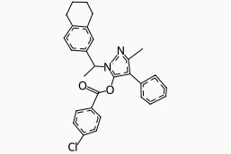 Cc1nn(C(C)c2ccc3c(c2)CCCC3)c(OC(=O)c2ccc(Cl)cc2)c1-c1ccccc1